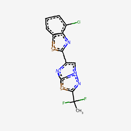 CC(F)(F)c1nn2cc(-c3nc4c(Cl)cccc4s3)nc2s1